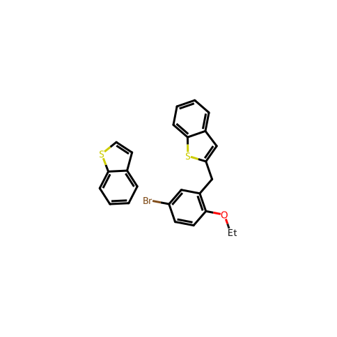 CCOc1ccc(Br)cc1Cc1cc2ccccc2s1.c1ccc2sccc2c1